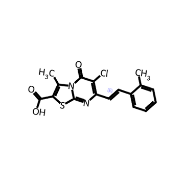 Cc1ccccc1/C=C/c1nc2sc(C(=O)O)c(C)n2c(=O)c1Cl